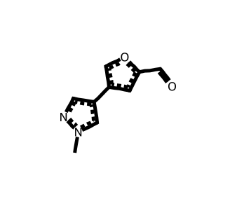 Cn1cc(-c2coc(C=O)c2)cn1